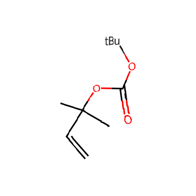 C=CC(C)(C)OC(=O)OC(C)(C)C